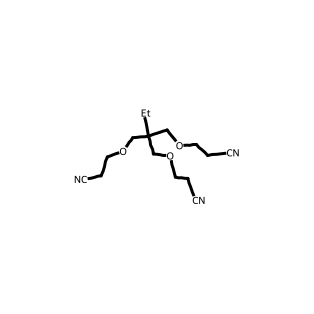 CCC(COCCC#N)(COCCC#N)COCCC#N